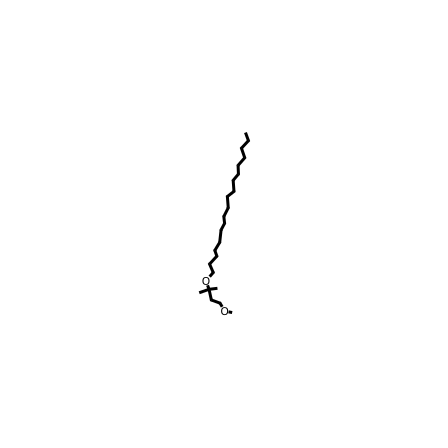 CCCCCCCCCCCCCCCCCCOC(C)(C)CCOC